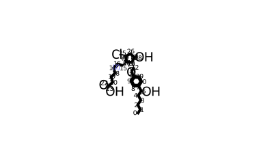 CCCCCC(O)c1ccc(OC[C@@H]2[C@@H](C/C=C\CCCC(=O)O)[C@H](Cl)C[C@H]2O)cc1